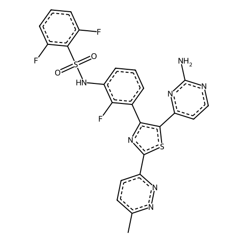 Cc1ccc(-c2nc(-c3cccc(NS(=O)(=O)c4c(F)cccc4F)c3F)c(-c3ccnc(N)n3)s2)nn1